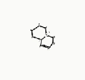 C1=CC2CCCCN2CC1